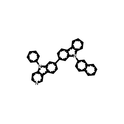 c1ccc(-n2c3ccncc3c3ccc(-c4ccc5c6ccccc6n(-c6ccc7ccccc7c6)c5c4)cc32)cc1